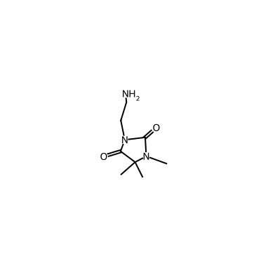 CN1C(=O)N(CCN)C(=O)C1(C)C